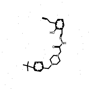 C=CCc1cccc(C=NNC(=O)CN2CCN(Cc3ccc(C(C)(C)C)cc3)CC2)c1O